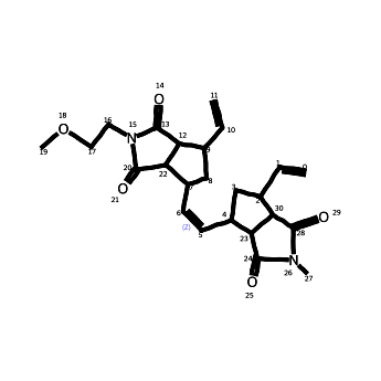 C=CC1CC(/C=C\C2CC(C=C)C3C(=O)N(CCOC)C(=O)C23)C2C(=O)N(C)C(=O)C12